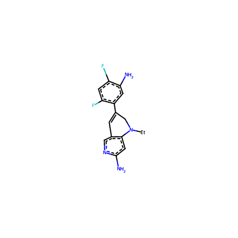 CCN1CC(c2cc(N)c(F)cc2F)=Cc2cnc(N)cc21